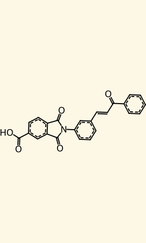 O=C(O)c1ccc2c(c1)C(=O)N(c1cccc(C=CC(=O)c3ccccc3)c1)C2=O